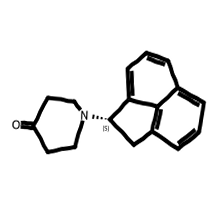 O=C1CCN([C@H]2Cc3cccc4cccc2c34)CC1